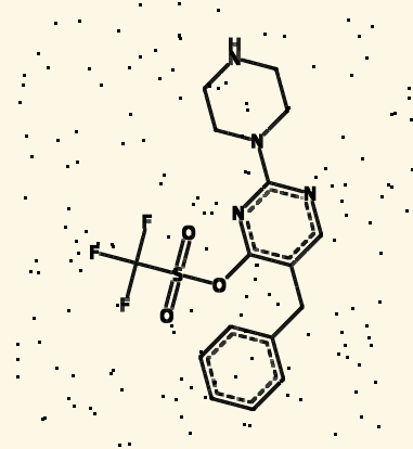 O=S(=O)(Oc1nc(N2CCNCC2)ncc1Cc1ccccc1)C(F)(F)F